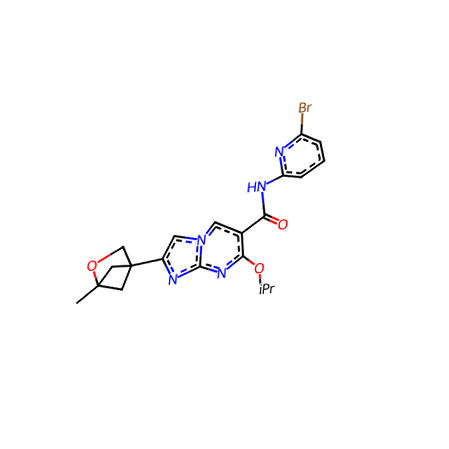 CC(C)Oc1nc2nc(C34COC(C)(C3)C4)cn2cc1C(=O)Nc1cccc(Br)n1